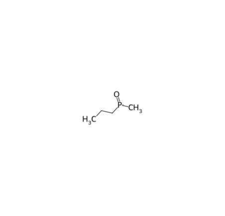 CCC[P](C)=O